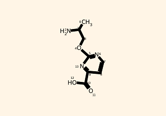 CC(N)COc1nccc(C(=O)O)n1